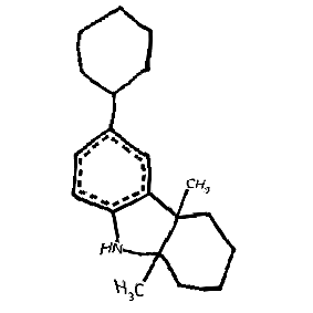 CC12CCCCC1(C)c1cc(C3CCCCC3)ccc1N2